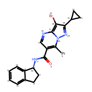 CC(C)c1c(C(=O)N[C@H]2CCc3ccccc32)cnc2c(Br)c(C3CC3)nn12